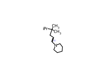 CC(C)C(C)(C)C/C=C/N1CCCCC1